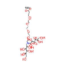 CC(C)(C)OC(=O)CCOCCOCCOCCOCCN(C[C@H](O)[C@@H](O)[C@H](O)[C@H](O)CO)C(=O)[C@H](O)[C@@H](O)[C@H](O)[C@H](O)CO